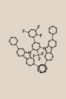 Fc1cc(F)c(F)c(-c2cc(-n3c4cc(-c5ccccc5)ccc4c4ccc(-c5ccccc5)cc43)c(C(F)(F)F)c(-n3c4cc(-c5ccccc5)ccc4c4ccc(-c5ccccc5)cc43)c2)c1